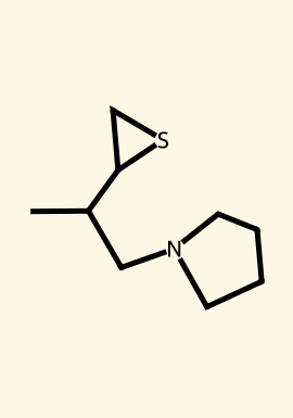 CC(CN1CCCC1)C1CS1